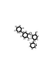 Cc1ccc(-c2ccccn2)cc1Oc1cc(-c2ccccn2)ccc1C